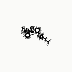 CC(C)CCc1cn(-c2cccc(S(=O)(=O)Nc3ccccc3C(F)(F)F)c2)nn1